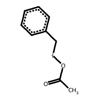 CC(=O)O[I]Cc1ccccc1